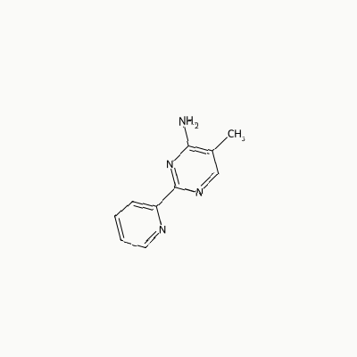 Cc1cnc(-c2ccccn2)nc1N